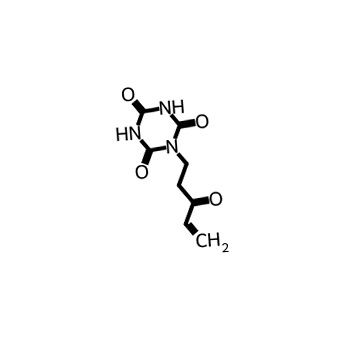 C=CC(=O)CCn1c(=O)[nH]c(=O)[nH]c1=O